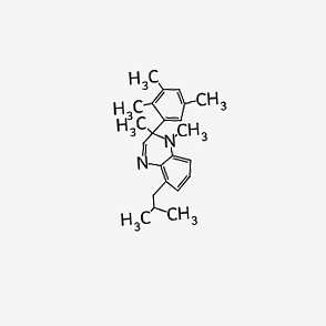 Cc1cc(C)c(C)c(C2(C)C=Nc3c(CC(C)C)cccc3N2C)c1